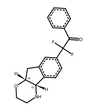 O=C(c1ccccc1)C(F)(F)c1ccc2c(c1)C[C@H]1OCCN[C@@H]21